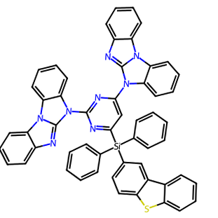 c1ccc([Si](c2ccccc2)(c2ccc3sc4ccccc4c3c2)c2cc(-n3c4ccccc4n4c5ccccc5nc34)nc(-n3c4ccccc4n4c5ccccc5nc34)n2)cc1